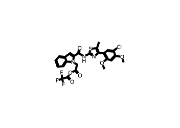 COc1cc(OC)c(-c2nc(NC(=O)c3cc4ccccc4n3CC(=O)OC(=O)C(F)(F)F)sc2C)cc1Cl